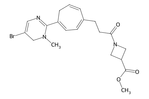 COC(=O)C1CN(C(=O)CCC2=CC=C(C3=NC=C(Br)CN3C)CC=C2)C1